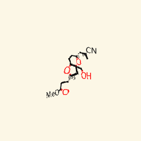 COC(=O)CC[C@H]1CC2(CO)O[C@@H](C[C@@H](C)C#N)CCC2O1